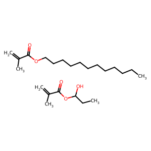 C=C(C)C(=O)OC(O)CC.C=C(C)C(=O)OCCCCCCCCCCCC